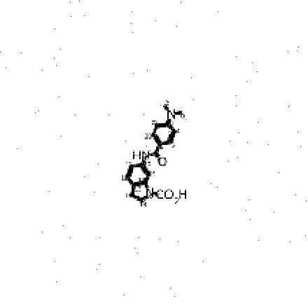 CN(C)c1ccc(C(=O)Nc2ccc3c(c2)N(C(=O)O)CC3)cc1